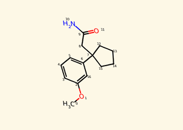 COc1cccc(C2(CC(N)=O)CCCC2)c1